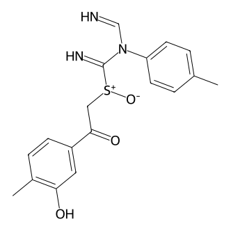 Cc1ccc(N(C=N)C(=N)[S+]([O-])CC(=O)c2ccc(C)c(O)c2)cc1